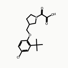 CC(C)(C)c1cc(Cl)ccc1OCC1CCN(C(=O)C(=O)O)C1